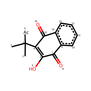 CC(=O)C(C)(C)C1=C(O)C(=O)c2ccccc2C1=O